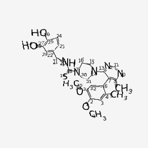 COc1cc(C)c(-c2c(C)ncnc2N2CCN(C(=S)NCc3ccc(O)c(O)c3)CC2)cc1OC